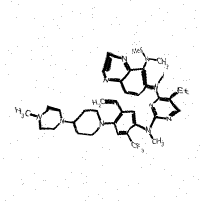 C=Cc1cc(N(C)c2ncc(CC)c(N(I)c3ccc4nccnc4c3N(C)SC)n2)c(C(F)(F)F)cc1N1CCC(N2CCN(C)CC2)CC1